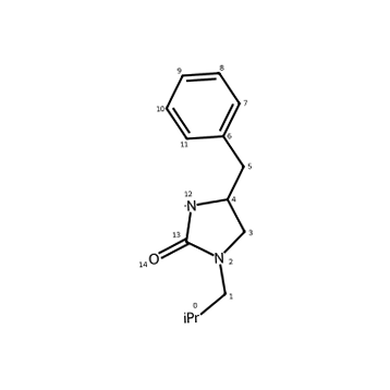 CC(C)CN1CC(Cc2ccccc2)[N]C1=O